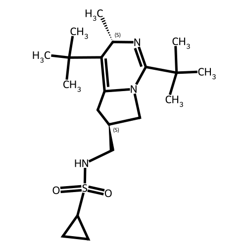 C[C@@H]1N=C(C(C)(C)C)N2C[C@@H](CNS(=O)(=O)C3CC3)CC2=C1C(C)(C)C